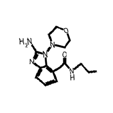 CCCNC(=O)c1cccc2nc(N)n(N3CCOCC3)c12